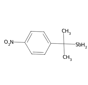 C[C](C)([SbH2])c1ccc([N+](=O)[O-])cc1